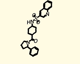 O=C(C1CCC(NS(=O)(=O)c2cnc3ccccc3c2)CC1)N1CCCC1c1ccccc1